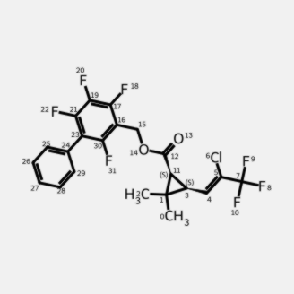 CC1(C)[C@H](C=C(Cl)C(F)(F)F)[C@@H]1C(=O)OCc1c(F)c(F)c(F)c(-c2ccccc2)c1F